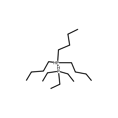 CCCC[PH](CCCC)(CCCC)[PH](CC)(CC)CC